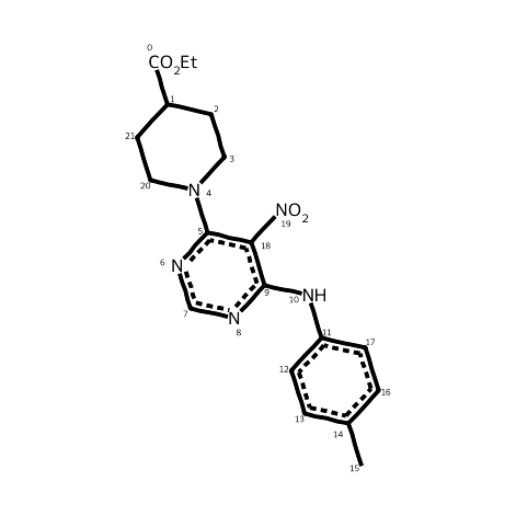 CCOC(=O)C1CCN(c2ncnc(Nc3ccc(C)cc3)c2[N+](=O)[O-])CC1